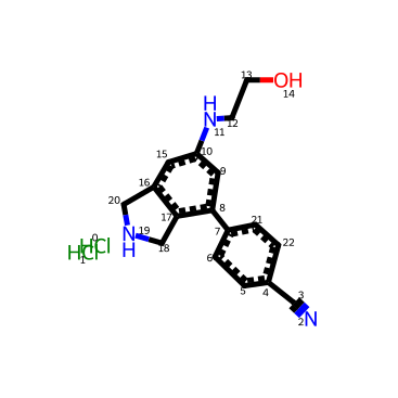 Cl.Cl.N#Cc1ccc(-c2cc(NCCO)cc3c2CNC3)cc1